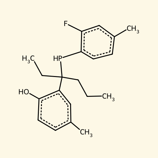 CCCC(CC)(Pc1ccc(C)cc1F)c1cc(C)ccc1O